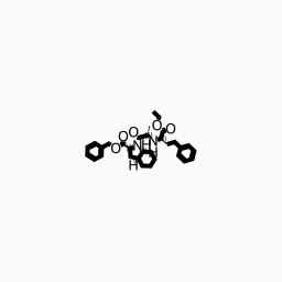 CCOC(=O)[C@H](CCc1ccccc1)N[C@@H](C)C(=O)N1[C@H](C(=O)OCc2ccccc2)C[C@H]2CCCC[C@@H]21